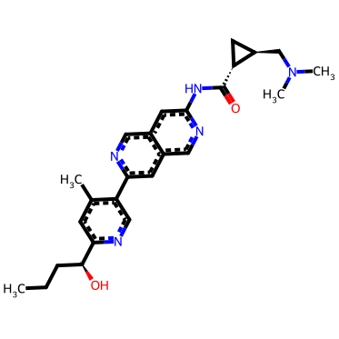 CCC[C@H](O)c1cc(C)c(-c2cc3cnc(NC(=O)[C@@H]4C[C@H]4CN(C)C)cc3cn2)cn1